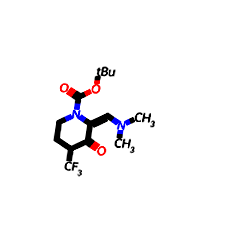 CN(C)C=C1C(=O)C(C(F)(F)F)CCN1C(=O)OC(C)(C)C